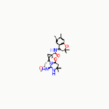 COCC[C@H](C1C[C@H]1C(=O)N[C@H]1CC(C)(C)Oc2cc(C)c(C)cc21)N1C(=N)NC(C)(C)CC1=O